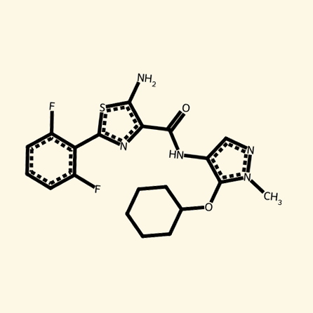 Cn1ncc(NC(=O)c2nc(-c3c(F)cccc3F)sc2N)c1OC1CCCCC1